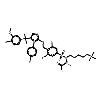 COc1cc(C(C)(C)c2cnc(SCc3c(F)cc(S(=O)(=O)N(CCCCC[N+](C)(C)C)[C@H](C)C(=O)O)cc3Cl)n2-c2ccc(F)cc2)ccc1Cl